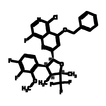 COc1c([C@H]2[C@H](c3cc(OCc4ccccc4)c4c(Cl)ncc(F)c4n3)O[C@@](C)(C(F)(F)F)[C@H]2C)ccc(F)c1F